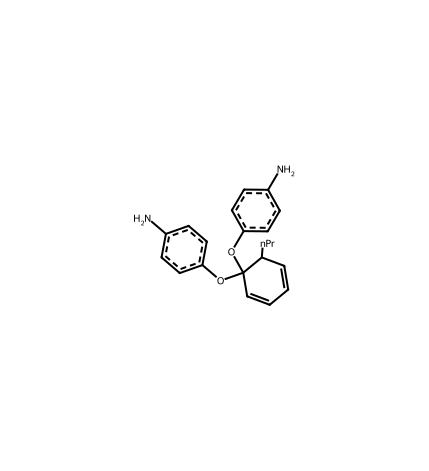 CCCC1C=CC=CC1(Oc1ccc(N)cc1)Oc1ccc(N)cc1